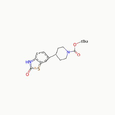 CC(C)(C)OC(=O)N1CCC(c2ccc3[nH]c(=O)sc3c2)CC1